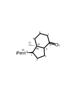 CCC[C@H](C)C1CCC2C(=O)CCC[C@@]21C